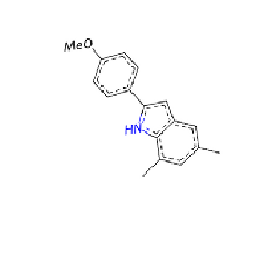 COc1ccc(-c2cc3cc(C)cc(C)c3[nH]2)cc1